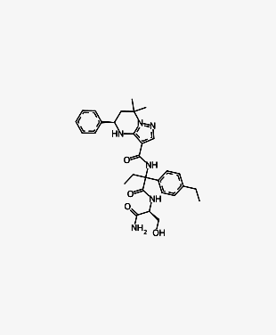 CCc1ccc(C(CC)(NC(=O)c2cnn3c2N[C@@H](c2ccccc2)CC3(C)C)C(=O)N[C@@H](CO)C(N)=O)cc1